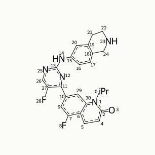 CC(C)n1c(=O)ccc2c(F)cc(-c3nc(Nc4ccc5c(c4)CCNC5)ncc3F)cc21